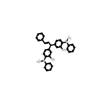 Cc1cc(C(C=Cc2ccccc2)c2ccc(N(C)c3ccccc3)c(C)c2)ccc1N(C)c1ccccc1